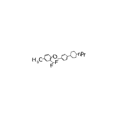 CCCC1CCC(c2ccc(COc3ccc(C)cc3C(F)F)cc2)CC1